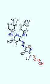 CCC(SOOO)c1nsc(N=Nc2c(Nc3ccc(S(=O)(=O)O)cc3)nc(Nc3ccc(S(=O)(=O)O)cc3)c(C#N)c2C)c1C#N